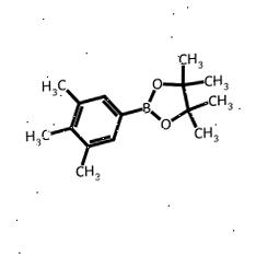 Cc1cc(B2OC(C)(C)C(C)(C)O2)cc(C)c1C